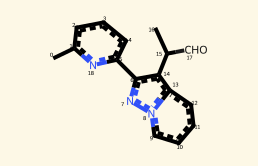 Cc1cccc(-c2nn3ccccc3c2C(C)C=O)n1